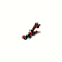 CC(C)Oc1ccccc1[C@@H]1COCCN1C1CCC2(CC1)CCN(c1ccc(C(=O)NS(=O)(=O)c3cc4c(c([N+](=O)[O-])c3)N[C@@H](C3(F)CCC(C)(OP(=O)(O)O)CC3)CO4)c(N3c4cc5cc[nH]c5nc4O[C@H]4COCC[C@@H]43)c1)CC2